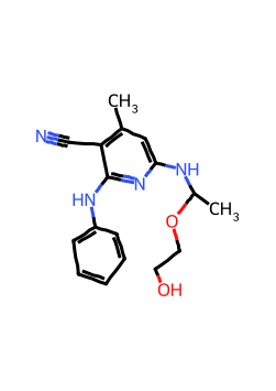 Cc1cc(NC(C)OCCO)nc(Nc2ccccc2)c1C#N